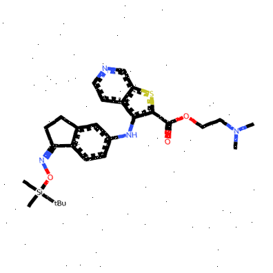 CN(C)CCOC(=O)c1sc2cnccc2c1Nc1ccc2c(c1)CC/C2=N/O[Si](C)(C)C(C)(C)C